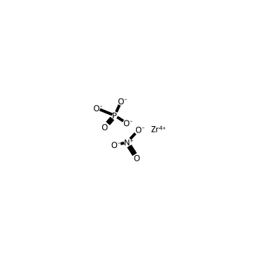 O=P([O-])([O-])[O-].O=[N+]([O-])[O-].[Zr+4]